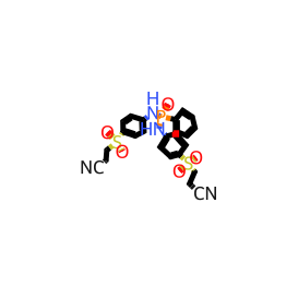 N#CCCS(=O)(=O)c1ccc(NP(=O)(Nc2ccc(S(=O)(=O)CCC#N)cc2)c2ccccc2)cc1